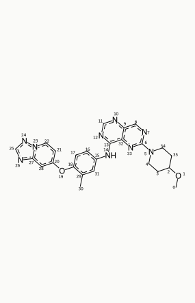 COC1CCN(c2ncc3ncnc(Nc4ccc(Oc5ccn6ncnc6c5)c(C)c4)c3n2)CC1